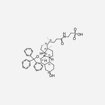 C[C@H](CCC(=O)NCCS(=O)(=O)O)[C@H]1CC[C@H]2[C@@H]3[C@@H](OC(c4ccccc4)(c4ccccc4)c4ccccc4)CC4C[C@H](O)CC[C@]4(C)[C@H]3CC[C@]12C